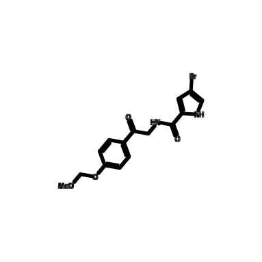 COCOc1ccc(C(=O)CNC(=O)c2cc(Br)c[nH]2)cc1